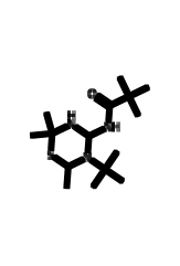 CC1SC(C)(C)NC(NC(=O)C(C)(C)C)N1C(C)(C)C